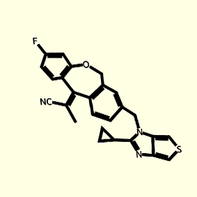 CC(C#N)=C1c2ccc(Cn3c(C4CC4)nc4cscc43)cc2COc2cc(F)ccc21